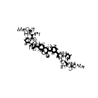 COC(=O)NC(C(=O)N1CCC[C@H]1c1ncc(-c2ccc3oc4c5ccc(-c6cnc([C@@H]7CCCN7C(=O)[C@@H](NC(=O)OC)C(C)C)[nH]6)cc5oc(=O)c4c3c2)[nH]1)C(C)C